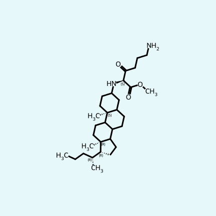 CCC[C@@H](C)[C@H]1CCC2C3CCC4CC(N[C@@H](C(=O)CCCN)C(=O)OC)CC[C@]4(C)C3CC[C@@]21C